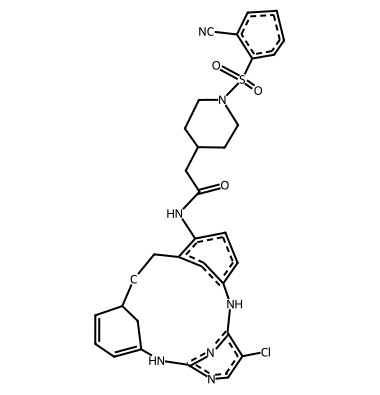 N#Cc1ccccc1S(=O)(=O)N1CCC(CC(=O)Nc2ccc3cc2CCC2C=CC=C(C2)Nc2ncc(Cl)c(n2)N3)CC1